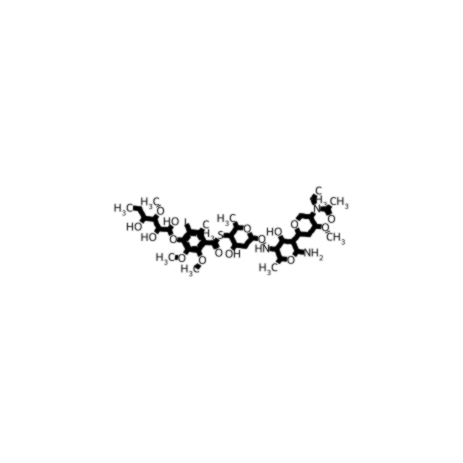 CCC(O)C(OC)C(O)C(O)Oc1c(I)c(C)c(C(=O)SC2C(O)CC(ONC3C(C)OC(N)C(C4CC(OC)C(N(CC)C(C)=O)CO4)C3O)OC2C)c(OC)c1OC